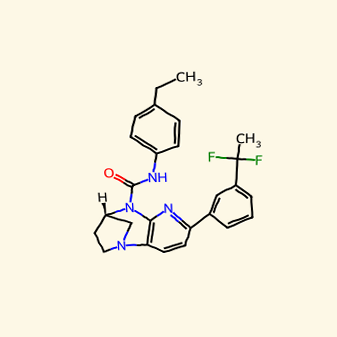 CCc1ccc(NC(=O)N2c3nc(-c4cccc(C(C)(F)F)c4)ccc3N3CC[C@H]2C3)cc1